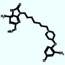 CCCCOc1nc(N)c2[nH]c(=O)n(CCCCCCCN3CCC(Oc4ccc(Cl)cc4C)CC3)c2n1